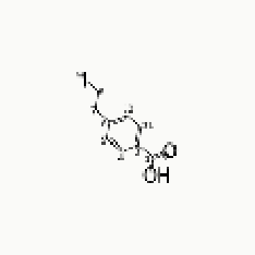 O=C(O)c1ccc(CCI)cc1